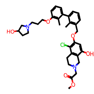 COC(=O)CN1CCc2c(Cl)c(OCc3cccc(-c4cccc(OCCCN5CCC(O)C5)c4C)c3C)cc(O)c2C1